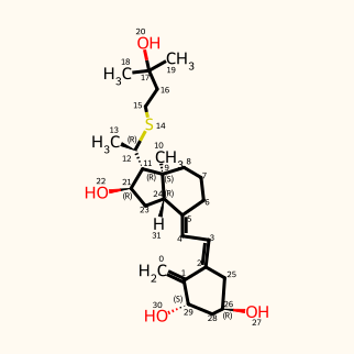 C=C1C(=CC=C2CCC[C@]3(C)[C@@H]([C@@H](C)SCCC(C)(C)O)[C@H](O)C[C@@H]23)C[C@@H](O)C[C@@H]1O